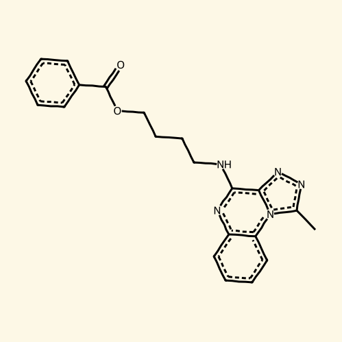 Cc1nnc2c(NCCCCOC(=O)c3ccccc3)nc3ccccc3n12